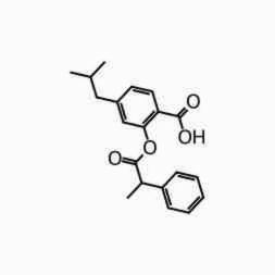 CC(C)Cc1ccc(C(=O)O)c(OC(=O)C(C)c2ccccc2)c1